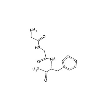 NCC(=O)NCC(=O)NC(Cc1ccccc1)C(N)=O